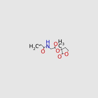 C=CC(=O)NCC(=O)OC1(C)CCOC1=O